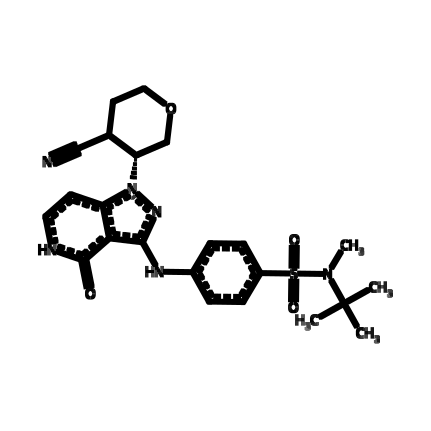 CN(C(C)(C)C)S(=O)(=O)c1ccc(Nc2nn([C@H]3COCCC3C#N)c3cc[nH]c(=O)c23)cc1